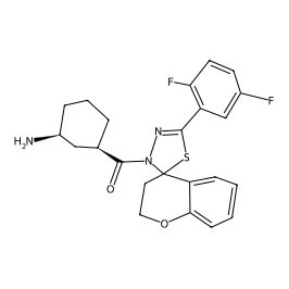 N[C@H]1CCC[C@@H](C(=O)N2N=C(c3cc(F)ccc3F)SC23CCOc2ccccc23)C1